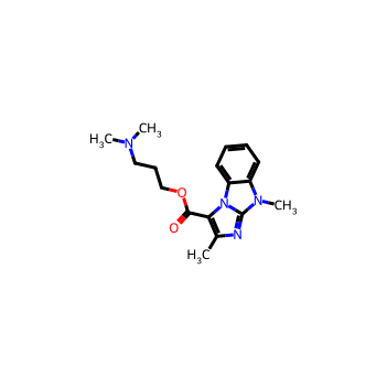 Cc1nc2n(C)c3ccccc3n2c1C(=O)OCCCN(C)C